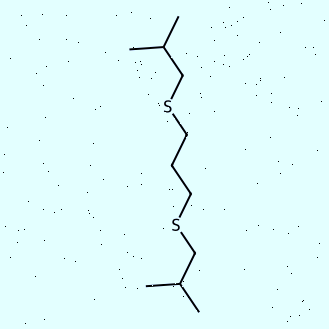 CC(C)CSCCCSCC(C)C